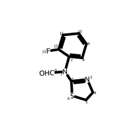 O=CN(C1=NCCS1)c1ccccc1F